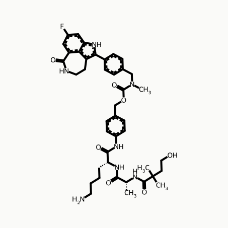 C[C@@H](NC(=O)C(C)(C)CCO)C(=O)N[C@H](CCCCN)C(=O)Nc1ccc(COC(=O)N(C)Cc2ccc(-c3[nH]c4cc(F)cc5c4c3CCNC5=O)cc2)cc1